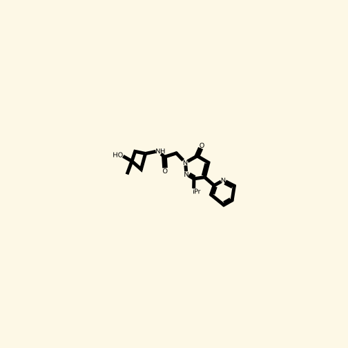 CC(C)c1nn(CC(=O)NC2CC(C)(O)C2)c(=O)cc1-c1ccccn1